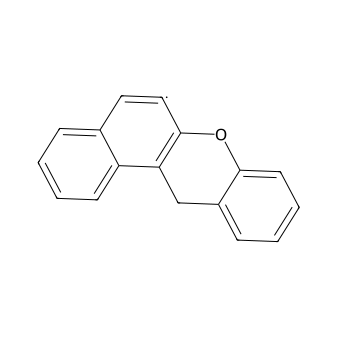 [c]1cc2ccccc2c2c1Oc1ccccc1C2